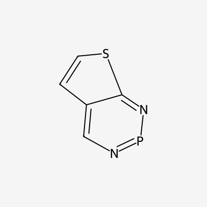 c1cc2cnpnc2s1